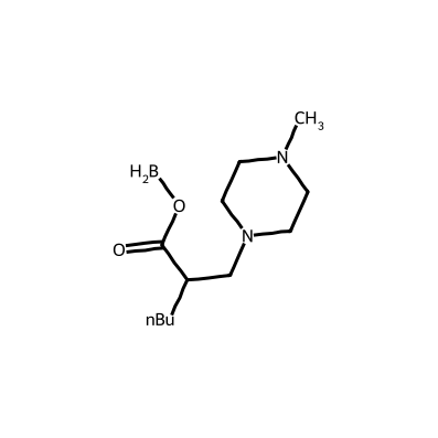 BOC(=O)C(CCCC)CN1CCN(C)CC1